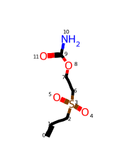 C=CCS(=O)(=O)CCOC(N)=O